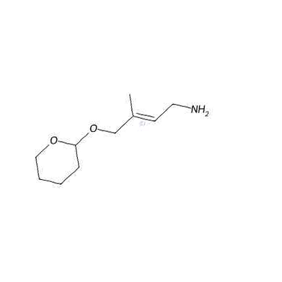 C/C(=C\CN)COC1CCCCO1